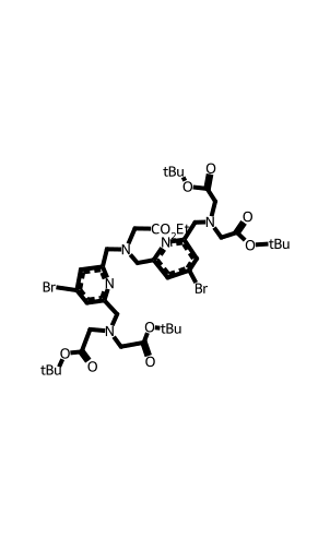 CCOC(=O)CN(Cc1cc(Br)cc(CN(CC(=O)OC(C)(C)C)CC(=O)OC(C)(C)C)n1)Cc1cc(Br)cc(CN(CC(=O)OC(C)(C)C)CC(=O)OC(C)(C)C)n1